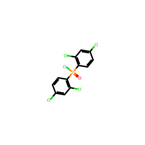 O=P(Cl)(c1ccc(Cl)cc1Cl)c1ccc(Cl)cc1Cl